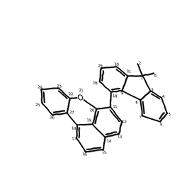 CC1(C)c2ccccc2-c2c(-c3ccc4cccc5c4c3Oc3ccccc3-5)cccc21